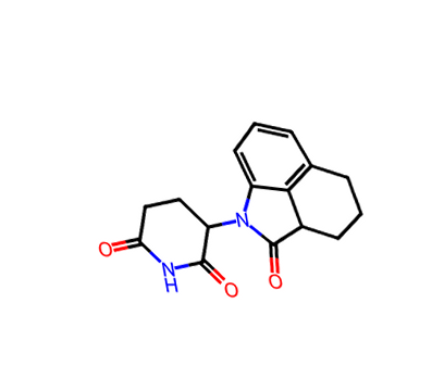 O=C1CCC(N2C(=O)C3CCCc4cccc2c43)C(=O)N1